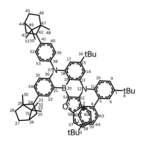 CC(C)(C)c1ccc(-c2cc(C(C)(C)C)ccc2N2c3cc(C(C)(C)C)cc4c3B(c3cc(C5CC6CCC5(C)C6(C)C)ccc3N4c3ccc(C4CC5CCC4(C)C5(C)C)cc3)c3oc4ccccc4c32)cc1